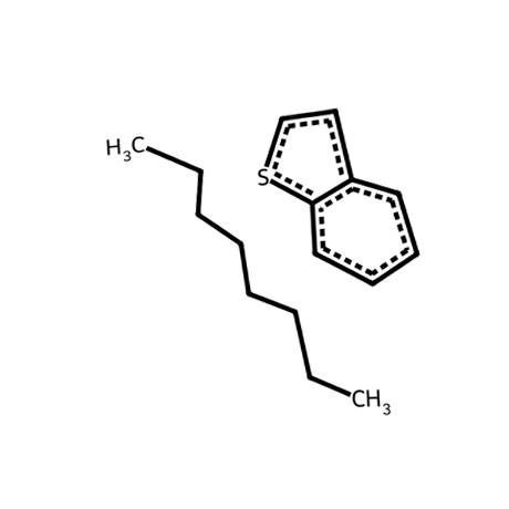 CCCCCCCC.c1ccc2sccc2c1